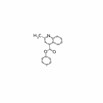 Cc1cc(C(=O)Oc2cc[c]cc2)c2ccccc2n1